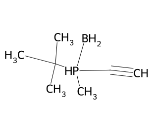 B[PH](C)(C#C)C(C)(C)C